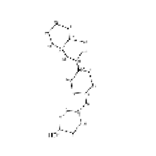 OC1CCN(CC2CCN(C3CCC4CCCCC4C3)CC2)CC1